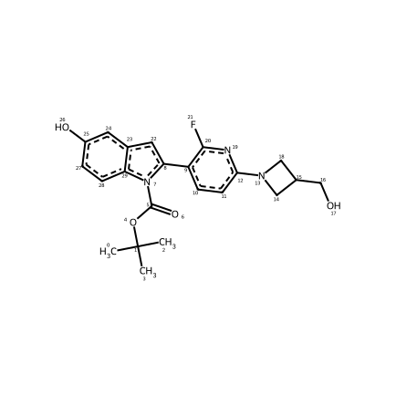 CC(C)(C)OC(=O)n1c(-c2ccc(N3CC(CO)C3)nc2F)cc2cc(O)ccc21